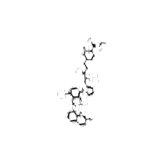 CCOC(=O)c1ccc(C=CC(=O)NCc2cccn2-c2ccc(Cl)c(COc3cccc4ccc(C)nc34)c2Cl)cn1